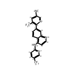 [C-]#[N+]c1cnc(-c2ccc3c(Nc4ccc(C(F)(F)F)cn4)ccnc3c2)c(C(F)(F)F)c1